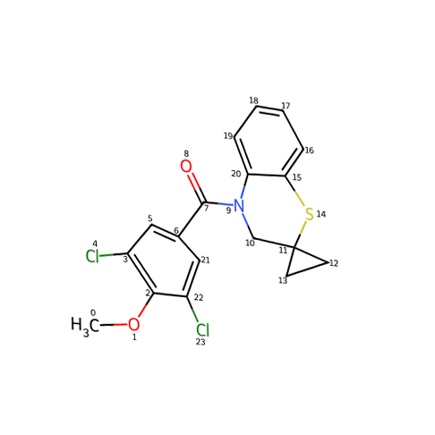 COc1c(Cl)cc(C(=O)N2CC3(CC3)Sc3ccccc32)cc1Cl